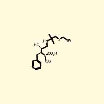 CC(C)CSCC(C)(C)NC[C@@H](O)[C@H](Cc1ccccc1)N(C(=O)O)C(C)(C)C